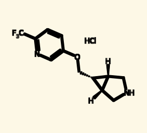 Cl.FC(F)(F)c1ccc(OC[C@@H]2[C@@H]3CNC[C@@H]32)cn1